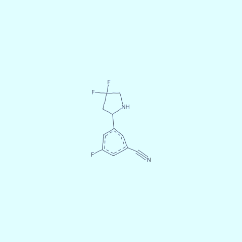 N#Cc1cc(F)cc(C2CC(F)(F)CN2)c1